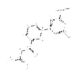 CNc1nc(C)cc(-c2cccc(C(=O)CC(=O)O)c2)n1